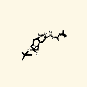 CC(C)=CC(C)=NNc1cc2c(nn1)CC1CCCC2N1C(=O)OC(C)(C)C